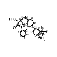 Cn1c(=O)n(-c2cccnc2F)c2c3cc(-c4cnc(N)c(C(F)(F)F)c4)ccc3ncc21